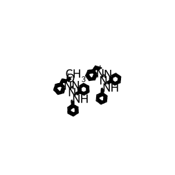 COc1cc2ccccc2n1-c1nc2c(c(NCc3ccccc3)n1)CCCC2.[c]1cc2ccccc2n1-c1nc2c(c(NCc3ccccc3)n1)CCCC2